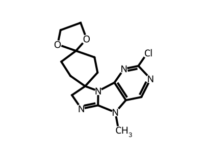 CN1C2=NCC3(CCC4(CC3)OCCO4)N2c2nc(Cl)ncc21